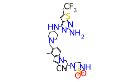 Cc1c(CN2CCC(Nc3nc(N)nc4sc(CC(F)(F)F)cc34)CC2)ccc2c1cc(C#N)n2C[C@H](C)N1CCNS(=O)(=O)C1